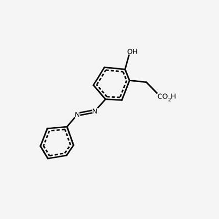 O=C(O)Cc1cc(N=Nc2ccccc2)ccc1O